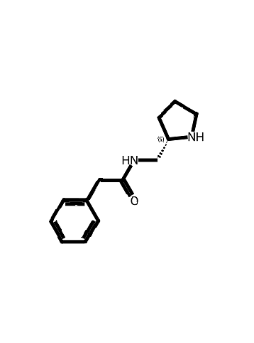 O=C(Cc1ccccc1)NC[C@@H]1CCCN1